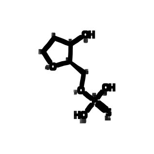 OC1CCO[C@@H]1COP(O)(O)=S